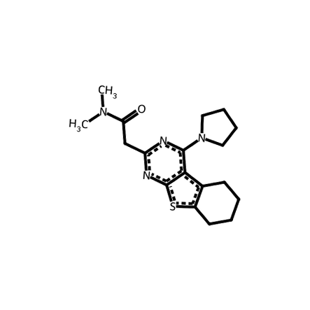 CN(C)C(=O)Cc1nc(N2CCCC2)c2c3c(sc2n1)CCCC3